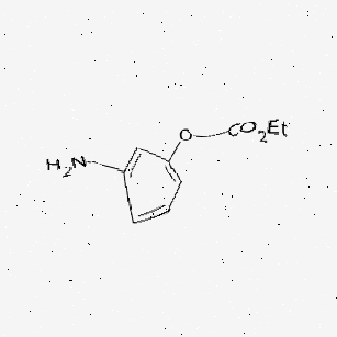 CCOC(=O)Oc1cccc(N)c1